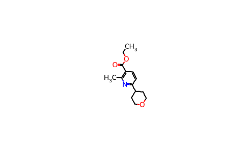 CCOC(=O)c1ccc(C2CCOCC2)nc1C